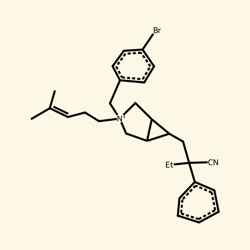 CCC(C#N)(CC1C2C[N+](CCC=C(C)C)(Cc3ccc(Br)cc3)CC12)c1ccccc1